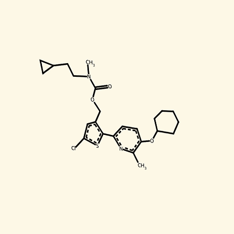 Cc1nc(-c2sc(Cl)cc2COC(=O)N(C)CCC2CC2)ccc1OC1CCCCC1